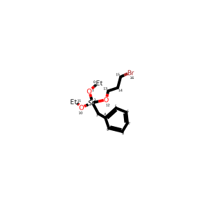 CCO[Si](Cc1ccccc1)(OCC)OCCCBr